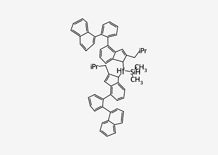 CC(C)CC1=Cc2c(-c3ccccc3-c3cccc4ccccc34)cccc2[CH]1[Hf]([CH]1C(CC(C)C)=Cc2c(-c3ccccc3-c3cccc4ccccc34)cccc21)[SiH](C)C